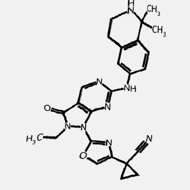 CCn1c(=O)c2cnc(Nc3ccc4c(c3)CCNC4(C)C)nc2n1-c1nc(C2(C#N)CC2)co1